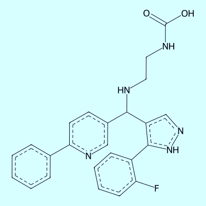 O=C(O)NCCNC(c1ccc(-c2ccccc2)nc1)c1cn[nH]c1-c1ccccc1F